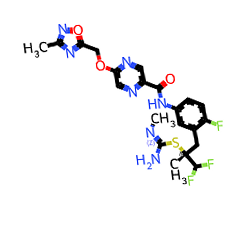 C/N=C(/N)S[C@](C)(Cc1cc(NC(=O)c2cnc(OCc3nc(C)no3)cn2)ccc1F)C(F)F